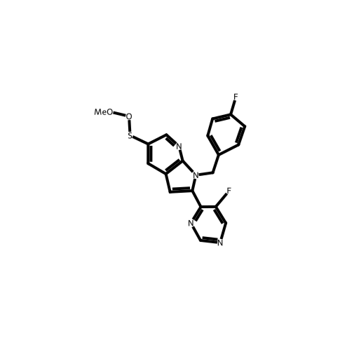 COOSc1cnc2c(c1)cc(-c1ncncc1F)n2Cc1ccc(F)cc1